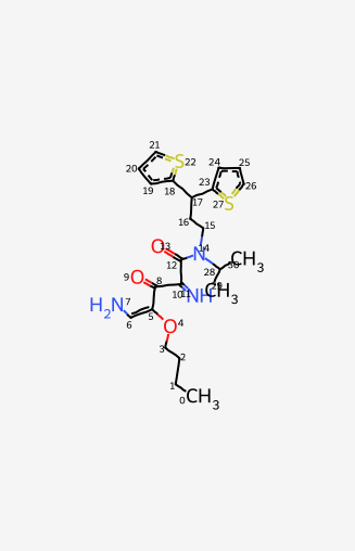 CCCCO/C(=C/N)C(=O)C(=N)C(=O)N(CCC(c1cccs1)c1cccs1)C(C)C